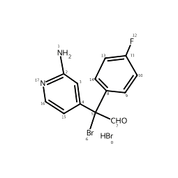 Br.Nc1cc(C(Br)(C=O)c2ccc(F)cc2)ccn1